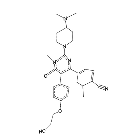 CC1CC(c2nc(N3CCC(N(C)C)CC3)n(C)c(=O)c2-c2ccc(OCCO)cc2)=CC=C1C#N